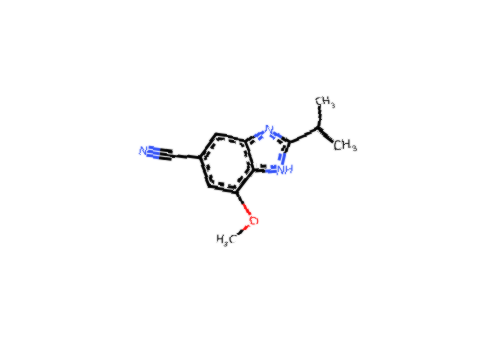 COc1cc(C#N)cc2nc(C(C)C)[nH]c12